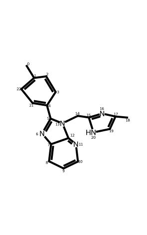 Cc1ccc(-c2nc3cccnc3n2Cc2nc(C)c[nH]2)cc1